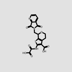 O=C(O)C(=O)Nc1sc2c(c1C(=O)O)CCOC2CN1C(=O)c2cccnc2C1=O